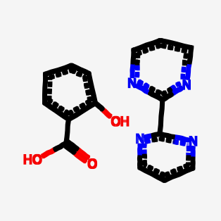 O=C(O)c1ccccc1O.c1cnc(-c2ncccn2)nc1